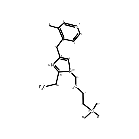 Cc1cnccc1Cc1cn(COCC[Si](C)(C)C)c(CC(F)(F)F)n1